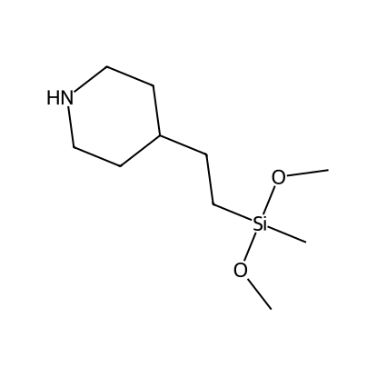 CO[Si](C)(CCC1CCNCC1)OC